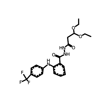 CCOC(CC(=O)NNC(=O)c1ccccc1Nc1ccc(C(F)(F)F)cc1)OCC